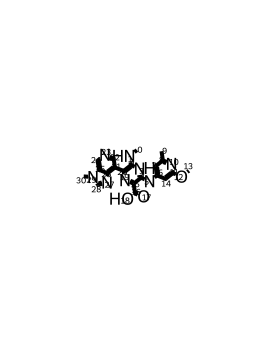 CNc1nc(Nc2cc(C)nc(OC)c2)c(C(=O)O)nc1-c1cncc2c1ncn2C